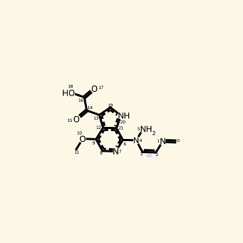 C=N/C=C\N(N)c1ncc(OC)c2c(C(=O)C(=O)O)c[nH]c12